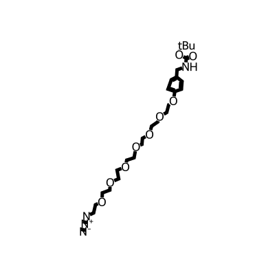 CC(C)(C)OC(=O)NCc1ccc(OCCOCCOCCOCCOCCOCCOCCN=[N+]=[N-])cc1